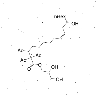 CCCCCCC(O)C/C=C\CCCCCC(C(C)=O)C(C(C)=O)(C(C)=O)C(=O)OCC(O)CO